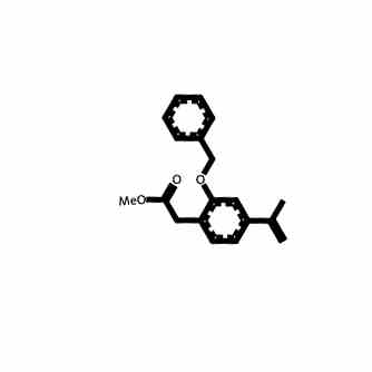 C=C(C)c1ccc(CC(=O)OC)c(OCc2ccccc2)c1